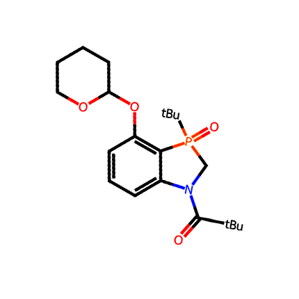 CC(C)(C)C(=O)N1CP(=O)(C(C)(C)C)c2c(OC3CCCCO3)cccc21